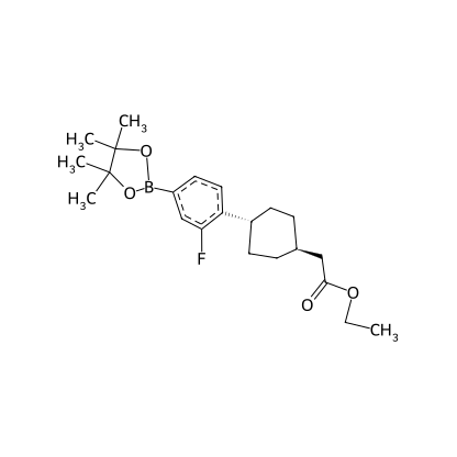 CCOC(=O)C[C@H]1CC[C@H](c2ccc(B3OC(C)(C)C(C)(C)O3)cc2F)CC1